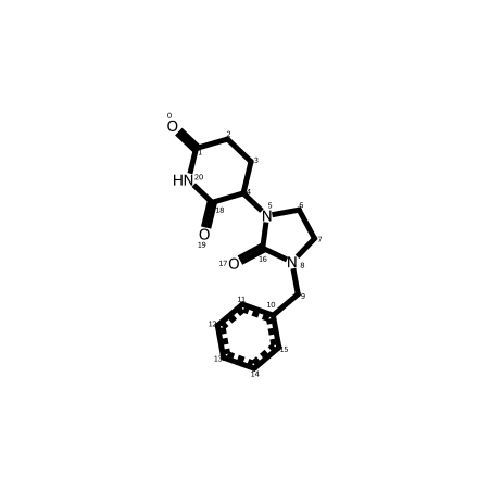 O=C1CCC(N2CCN(Cc3ccccc3)C2=O)C(=O)N1